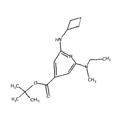 CCN(C)c1cc(C(=O)OC(C)(C)C)cc(NC2CCC2)n1